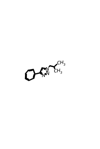 CC(C)Cn1cc(C2=CC=C=CC=C2)nn1